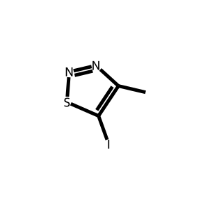 Cc1nnsc1I